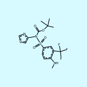 CNc1ccc(S(=O)(=O)N(C(=O)OC(C)(C)C)c2cscn2)cc1C(F)(F)F